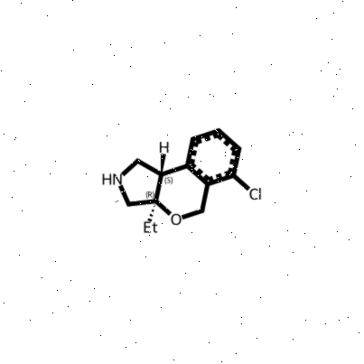 CC[C@]12CNC[C@@H]1c1cccc(Cl)c1CO2